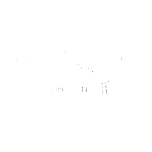 Oc1cc(C(F)(F)F)cc(F)c1-c1nnc(N[C@@H]2CCCOC2)n2cccc12